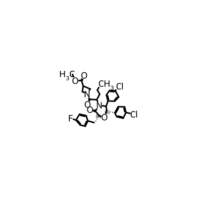 CCCC(C(=O)N1CC(C(=O)OC)C1)N1C(=O)[C@@H](Cc2ccc(F)cc2)O[C@@H](c2ccc(Cl)cc2)C1c1ccc(Cl)cc1